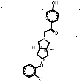 O=C(CN1C[C@H]2C[C@@H](Oc3ccccc3Cl)C[C@H]2C1)c1ccc(O)cn1